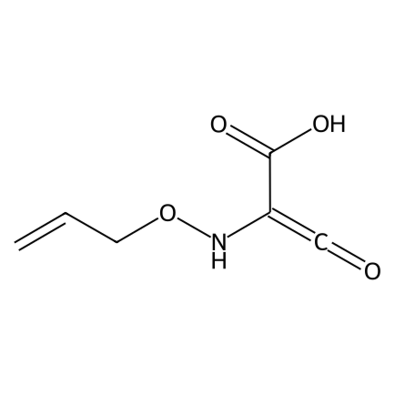 C=CCONC(=C=O)C(=O)O